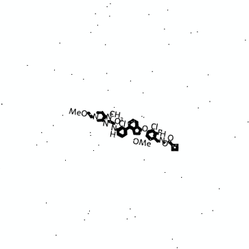 COCCN1CCc2c(nc(C(=O)Nc3cccc(-c4cccc5c4CCC5Oc4cc(OC)c(CNOC(=O)C5CCC5)c(F)c4Cl)c3Cl)n2C)C1